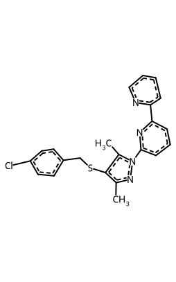 Cc1nn(-c2cccc(-c3ccccn3)n2)c(C)c1SCc1ccc(Cl)cc1